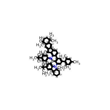 Cc1cc(C)c(-c2cc3c4c(c2)N2c5c(cc(C(C)(C)C)cc5C5(C)CCCCC25C)B4N(c2ccc(C(C)(C)C)cc2C)c2c-3ccc3c2C(C)(C)c2cc4c(cc2-3)C(C)(C)CCC4(C)C)c(C)c1